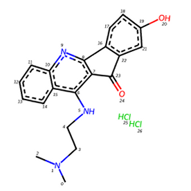 CN(C)CCNc1c2c(nc3ccccc13)-c1ccc(O)cc1C2=O.Cl.Cl